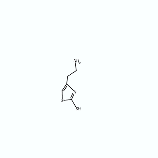 NCCc1csc(S)n1